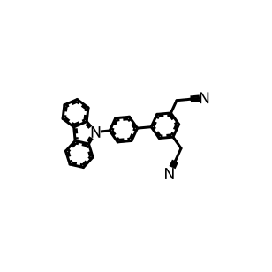 N#CCc1cc(CC#N)cc(-c2ccc(-n3c4ccccc4c4ccccc43)cc2)c1